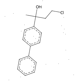 CC(O)(CCCl)c1ccc(-c2ccccc2)cc1